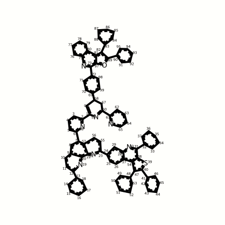 C1=C(c2cccc(-c3cc4ccc(-c5ccccc5)nc4c4nc(-c5ccc6c(c5)nc(-c5ccccc5)c5sc(-c7ccccc7)c(-c7ccccc7)c56)ccc34)n2)N=C(c2ccccn2)CC1c1ccc(-c2nc3ccccc3c3c(-c4ccccc4)c(-c4ccccc4)oc23)cc1